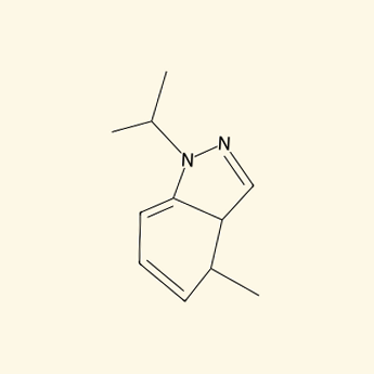 CC1C=CC=C2C1C=NN2C(C)C